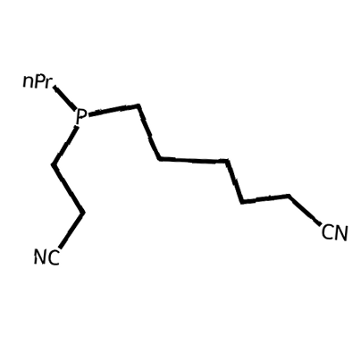 CCCP(CCC#N)CCCCCC#N